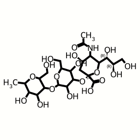 CC(=O)NC1C([C@H](O)[C@H](O)CO)O[C@@](OC2C(O)C(CO)OC(OC3C(CO)OC(C)C(O)C3O)C2O)(C(=O)O)C[C@H]1O